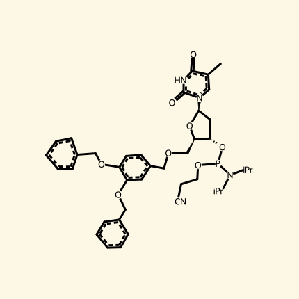 Cc1cn([C@H]2C[C@H](OP(OCCC#N)N(C(C)C)C(C)C)[C@@H](COCc3ccc(OCc4ccccc4)c(OCc4ccccc4)c3)O2)c(=O)[nH]c1=O